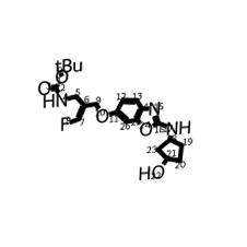 CC(C)(C)OC(=O)NCC(=CF)COc1ccc2nc(NC3CCC(O)C3)oc2c1